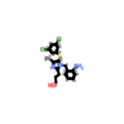 CC(C)c1nc(CCCO)n(Cc2ccccc2N)c1Sc1cc(Cl)cc(Cl)c1